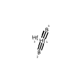 [B]#[Hf]#[B].[Hf]